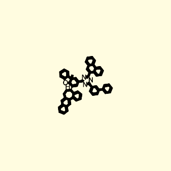 CC12C=C(c3nc(-c4cccc(-c5ccccc5)c4)nc(-c4cc5ccccc5c5ccccc45)n3)C=C([C@@H]3CCc4cc5ccccc5cc4-c4ccccc43)[C@@H]1Oc1ccccc12